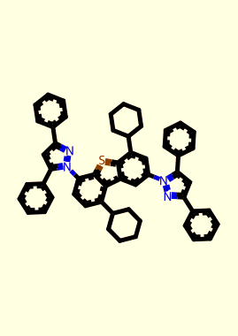 c1ccc(-c2cc(-c3ccccc3)n(-c3cc(C4CCCCC4)c4sc5c(-n6nc(-c7ccccc7)cc6-c6ccccc6)ccc(C6CCCCC6)c5c4c3)n2)cc1